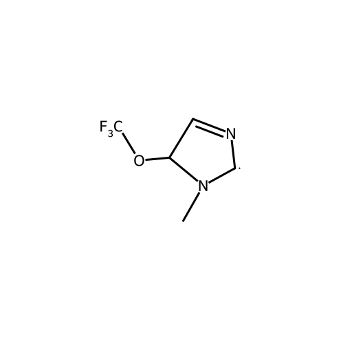 CN1[CH]N=CC1OC(F)(F)F